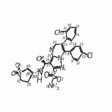 NS(=O)(=O)c1nn2c(-c3ccc(Cl)cc3)c(-c3ccccc3Cl)cnc2c1C(=O)N[C@@H]1CCS(=O)(=O)C1